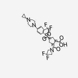 O=C(O)[C@@H]1C[C@H](S(=O)(=O)c2ccc(N3CCN(C4CC4)CC3)cc2C(F)(F)F)C[C@H]1C(=O)N1CC(F)(F)C1